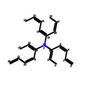 C=C/C=C\C(=C/C)N(C(/C=C\C=C)=C/C)C(/C=C\C)=C/C=C\C